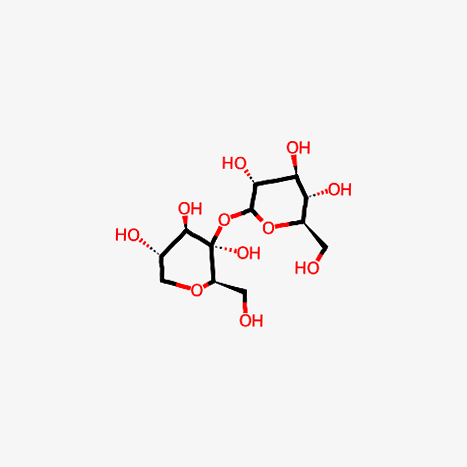 OC[C@H]1OC(O[C@]2(O)[C@H](O)[C@@H](O)CO[C@@H]2CO)[C@H](O)[C@@H](O)[C@@H]1O